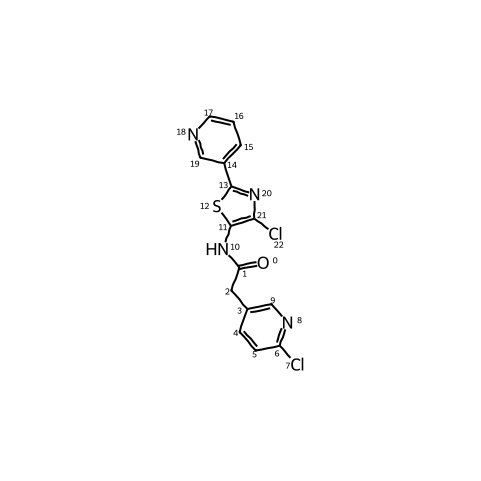 O=C(Cc1ccc(Cl)nc1)Nc1sc(-c2cccnc2)nc1Cl